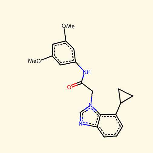 COc1cc(NC(=O)Cn2cnc3cccc(C4CC4)c32)cc(OC)c1